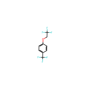 FC(F)(F)COc1[c]cc(C(F)(F)F)cc1